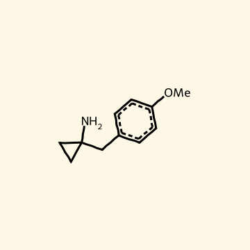 COc1ccc(CC2(N)CC2)cc1